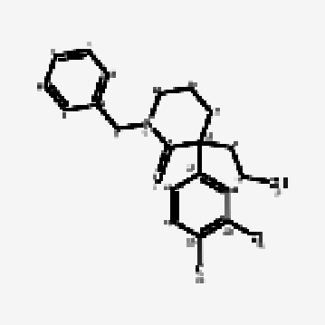 O=C1N(Cc2ccccc2)CCCC1(CCO)c1ccc(Cl)c(Cl)c1